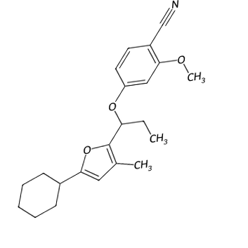 CCC(Oc1ccc(C#N)c(OC)c1)c1oc(C2CCCCC2)cc1C